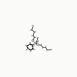 CCCCCO[Si](OC)(OCCCCC)c1ccccc1